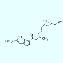 CC(=Cc1ccc(C(=O)CC(C)CCCC(C)CCCC(C)C)o1)C(=O)O